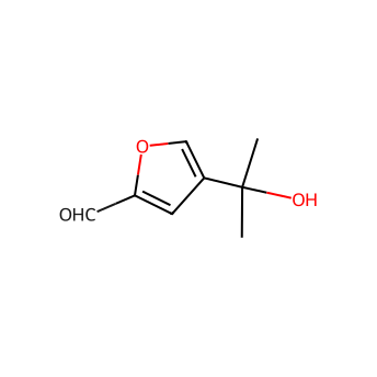 CC(C)(O)c1coc(C=O)c1